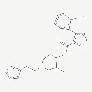 COc1ccccc1-c1ccoc1C(=O)NC1CCN(CCc2cccs2)CC1C